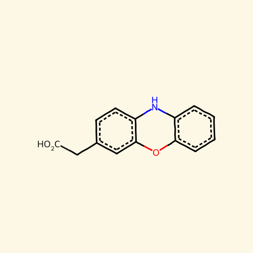 O=C(O)Cc1ccc2c(c1)Oc1ccccc1N2